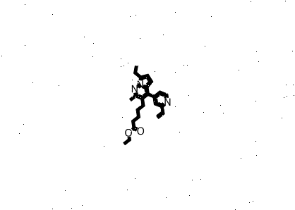 C=Cc1cc(-c2c(CCCCC(=O)OCC)c(C)nn3c(CC)ccc23)ccn1